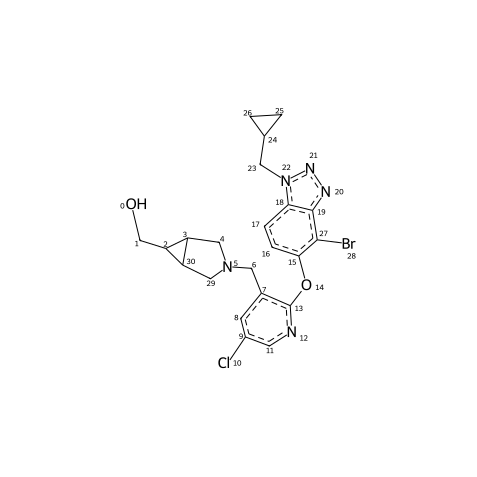 OCC1C2CN(Cc3cc(Cl)cnc3Oc3ccc4c(nnn4CC4CC4)c3Br)CC12